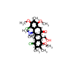 COc1c(C)c(OC)c2c(c1Cl)C(N(C)C)[C@@H]1Cc3c(Cl)c(C)c(C)c(OC)c3[C@H](CO)C1C(=O)C2